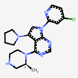 C[C@H]1CNCCN1c1ncnc2c1c(N1CCCC1)cn2-c1cc(Cl)ccn1